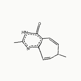 Cc1nc2c(c(=O)[nH]1)C=CC(C)C=C2